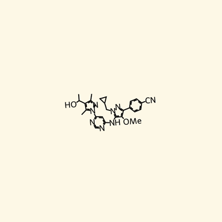 COc1c(-c2ccc(C#N)cc2)nn(CC2CC2)c1Nc1cc(-n2nc(C)c(C(C)O)c2C)ncn1